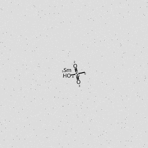 CS(=O)(=O)O.[Sm]